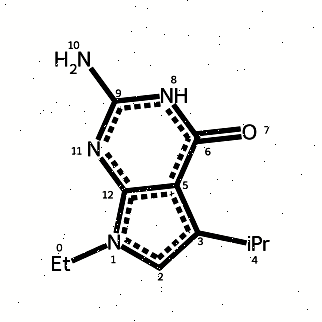 CCn1cc(C(C)C)c2c(=O)[nH]c(N)nc21